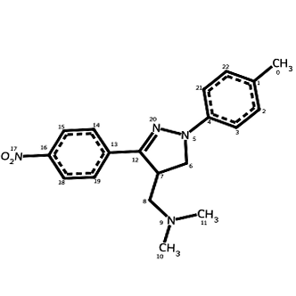 Cc1ccc(N2CC(CN(C)C)C(c3ccc([N+](=O)[O-])cc3)=N2)cc1